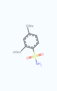 CCCCCCc1cc(OC)ccc1S(N)(=O)=O